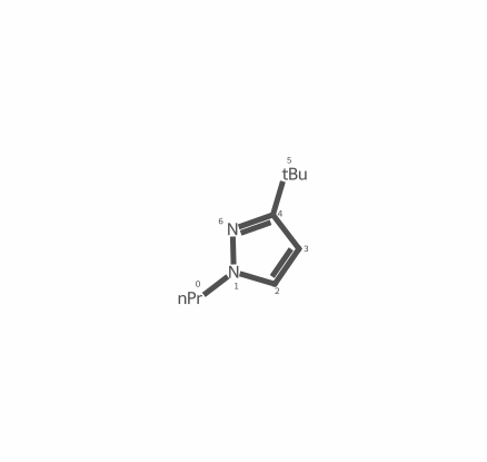 CCCn1ccc(C(C)(C)C)n1